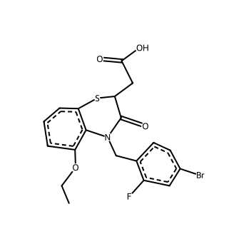 CCOc1cccc2c1N(Cc1ccc(Br)cc1F)C(=O)C(CC(=O)O)S2